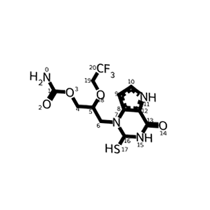 NC(=O)OCC(CN1c2cc[nH]c2C(=O)NC1S)OCC(F)(F)F